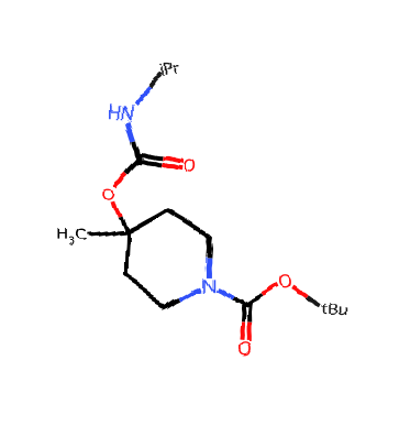 CC(C)NC(=O)OC1(C)CCN(C(=O)OC(C)(C)C)CC1